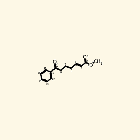 COC(=O)C=CCCCC(=O)c1ccccc1